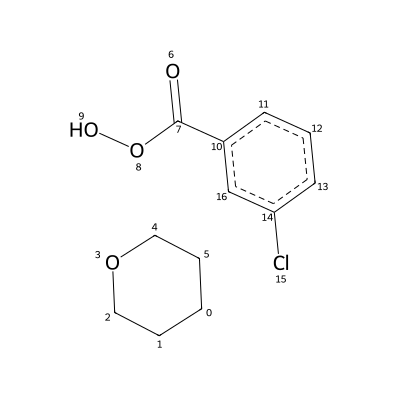 C1CCOCC1.O=C(OO)c1cccc(Cl)c1